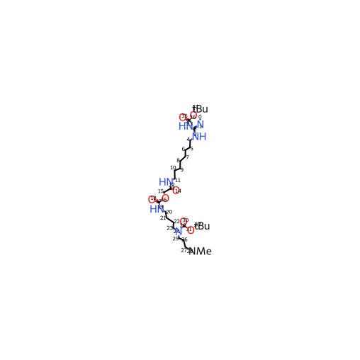 CN=C(NCCCCCCCCNC(=O)COC(=O)NCCCCN(CCCNC)C(=O)OC(C)(C)C)NC(=O)OC(C)(C)C